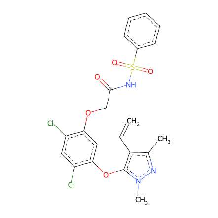 C=Cc1c(C)nn(C)c1Oc1cc(OCC(=O)NS(=O)(=O)c2ccccc2)c(Cl)cc1Cl